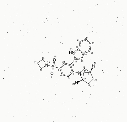 O=S(=O)(c1ccc(N2C[C@@H]3CC[C@H]2C3)c(-c2cc3ccccc3[nH]2)c1)N1CCC1